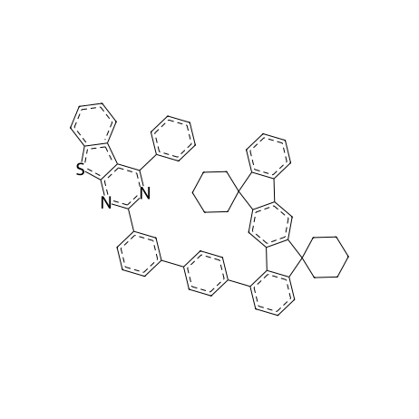 c1ccc(-c2nc(-c3cccc(-c4ccc(-c5cccc6c5-c5cc7c(cc5C65CCCCC5)-c5ccccc5C75CCCCC5)cc4)c3)nc3sc4ccccc4c23)cc1